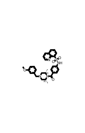 COc1cccc(CN2C[C@@H](C)N(C(=O)c3ccc(NS(=O)(=O)c4cccc5cccnc45)cc3)[C@@H](C)C2)c1